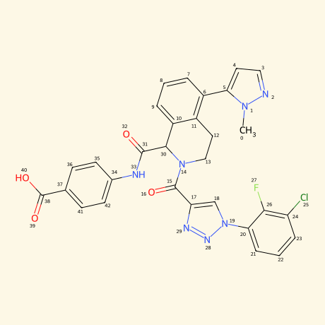 Cn1nccc1-c1cccc2c1CCN(C(=O)c1cn(-c3cccc(Cl)c3F)nn1)C2C(=O)Nc1ccc(C(=O)O)cc1